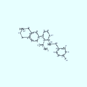 NC(=O)c1c(-c2ccc3c(c2)CNCC3)ccnc1NCc1ccc(F)cn1